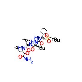 CC(C)(C)CS(=O)(=O)C[C@@H](NC(=O)N[C@H](C(=O)N1CC2C([C@H]1C(=O)NC(CC1CC1)C(=O)C(N)=O)C2(C)C)C(C)(C)C)C1CCCCC1